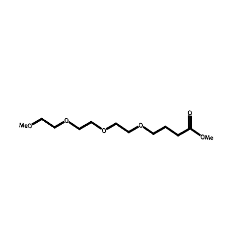 COCCOCCOCCOCCCC(=O)OC